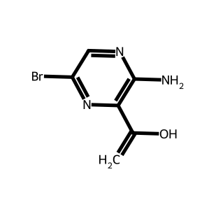 C=C(O)c1nc(Br)cnc1N